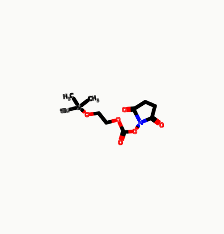 CC(C)(C)[Si](C)(C)OCCOC(=O)ON1C(=O)CCC1=O